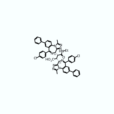 CCNC(=O)C(C(C(=O)O)[C@@H]1N=C(c2ccc(Cl)cc2)c2cc(-c3ccccc3)ccc2-n2c(C)nnc21)[C@@H]1N=C(c2ccc(Cl)cc2)c2cc(-c3ccccc3)ccc2-n2c(C)nnc21